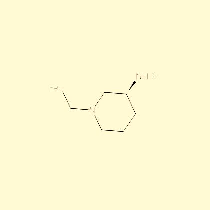 CC(=O)N[C@H]1CCCN(CC(C)(C)C)C1